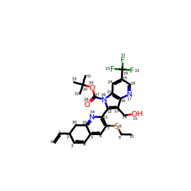 C=CC1C=Cc2cc(SCC)c(-c3c(CO)c4ncc(C(F)(F)F)cc4n3C(=O)OC(C)(C)C)nc2C1